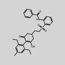 CCc1cc(C)cc(CC)c1C1=C(O)CC(CCS(=O)(=O)c2ccccc2NC(=O)c2ccccc2)CC1=O